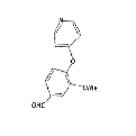 COc1cc(C=O)ccc1Oc1ccncc1